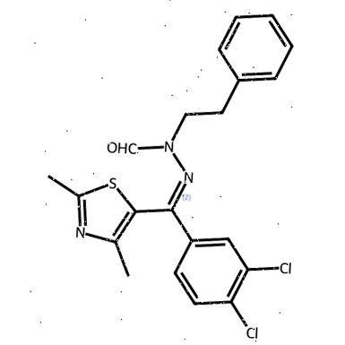 Cc1nc(C)c(/C(=N\N(C=O)CCc2ccccc2)c2ccc(Cl)c(Cl)c2)s1